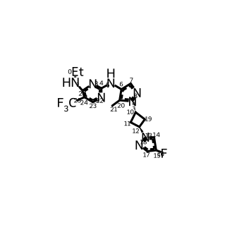 CCNc1nc(Nc2cnn([C@H]3C[C@H](n4cc(F)cn4)C3)c2C)ncc1C(F)(F)F